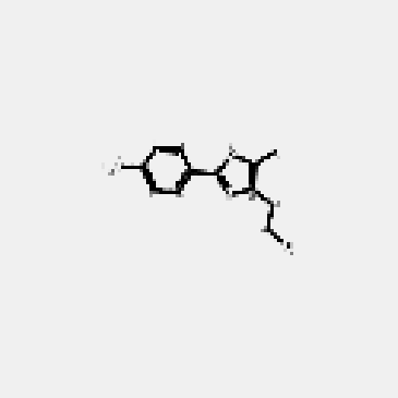 Cc1sc(-c2ccc(C(F)(F)F)cc2)nc1CCBr